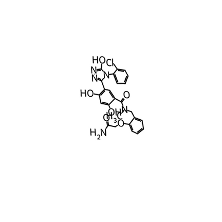 CN(Cc1ccccc1OCC(N)=O)C(=O)c1cc(-c2nnc(O)n2-c2ccccc2Cl)c(O)cc1O